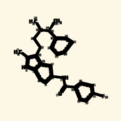 Cc1[nH]c2ccc(NC(=O)c3ccc(F)cc3)cc2c1CCN(C)[C@@H](C)c1ccccc1